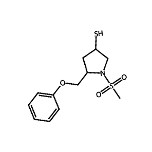 CS(=O)(=O)N1CC(S)CC1COc1ccccc1